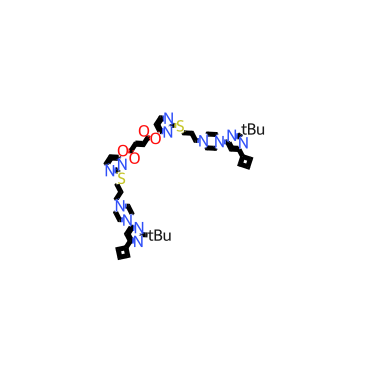 CC(C)(C)c1nc(C2CCC2)cc(N2CCN(CCCSc3nccc(OC(=O)/C=C/C(=O)Oc4ccnc(SCCCN5CCN(c6cc(C7CCC7)nc(C(C)(C)C)n6)CC5)n4)n3)CC2)n1